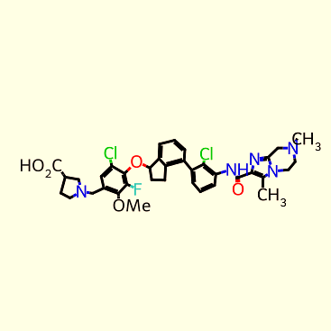 COc1c(CN2CCC(C(=O)O)C2)cc(Cl)c(OC2CCc3c(-c4cccc(NC(=O)c5nc6n(c5C)CCN(C)C6)c4Cl)cccc32)c1F